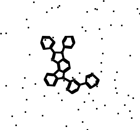 c1ccc(-c2nc3c4c5ccccc5n(-c5nccc(-c6cccnc6)n5)c4ccc3n2-c2ccccc2)cc1